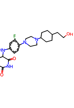 O=C1CCC(Nc2ccc(N3CCN(C4CCC(CCO)CC4)CC3)c(F)c2)C(=O)N1